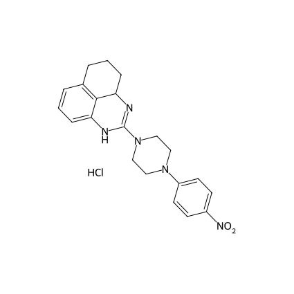 Cl.O=[N+]([O-])c1ccc(N2CCN(C3=NC4CCCc5cccc(c54)N3)CC2)cc1